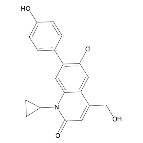 O=c1cc(CO)c2cc(Cl)c(-c3ccc(O)cc3)cc2n1C1CC1